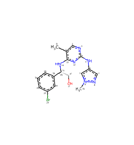 Cc1cnc(Nc2cnn(C)c2)nc1N[C@H](CO)c1cccc(Br)c1